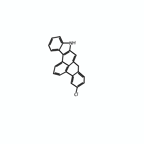 Clc1ccc2c(c1)-c1cccc3c1c(cc1[nH]c4ccccc4c13)C2